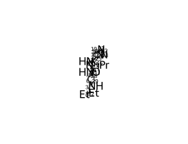 CCC(CC)CN[C@H]1CC[C@H](NC(=O)c2n[nH]c(-c3cc(C)c4ncnn4c3)c2C(C)C)CC1